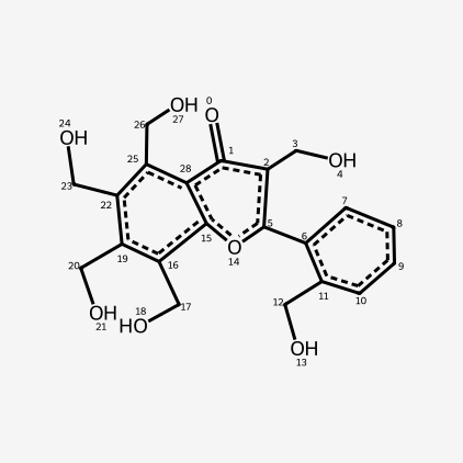 O=c1c(CO)c(-c2ccccc2CO)oc2c(CO)c(CO)c(CO)c(CO)c12